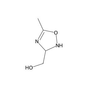 CC1=NC(CO)NO1